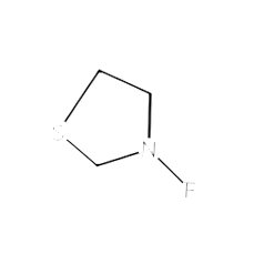 FN1CCSC1